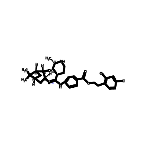 C[C@@H]1[C@@H](/N=C(/Nc2ccc(C(=O)OCCc3ccc(Cl)cc3Cl)cc2)N2CCN[C@@H](C)C2)C[C@H]2C[C@@H]1C2(C)C